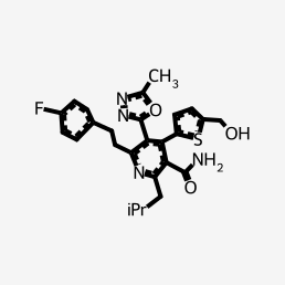 Cc1nnc(-c2c(CCc3ccc(F)cc3)nc(CC(C)C)c(C(N)=O)c2-c2ccc(CO)s2)o1